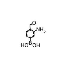 Nc1cc(B(O)O)ccc1C=O